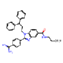 N=C(N)c1ccc(-c2nc3cc(C(=O)NCCC(=O)O)ccc3n2CCC(c2ccccc2)c2ccccc2)cc1